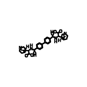 O=C(N[C@@H](C(=O)O)[C@H]1CN2CCC1CC2)c1ccc(-c2ccc(C(=O)N[C@@H](C(=O)O)[C@H]3CN4CCC3CC4)cc2)cc1